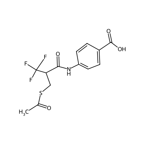 CC(=O)SCC(C(=O)Nc1ccc(C(=O)O)cc1)C(F)(F)F